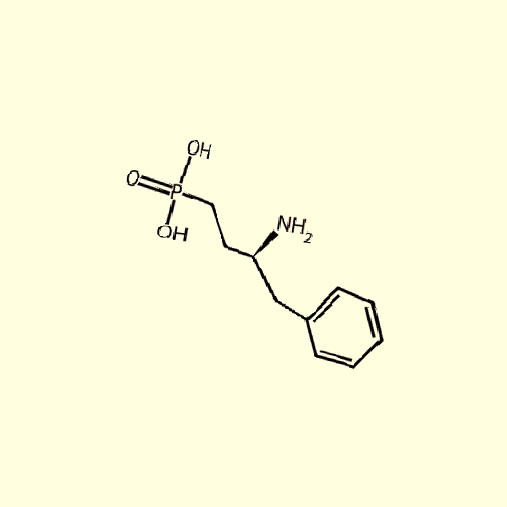 N[C@H](CCP(=O)(O)O)Cc1ccccc1